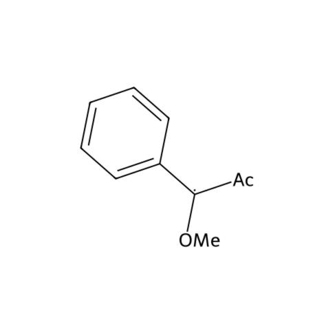 CO[C](C(C)=O)c1ccccc1